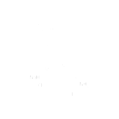 NC(=O)c1c(Cl)cc(Cl)c(OCCOCC(=O)O)c1Cl.[NaH]